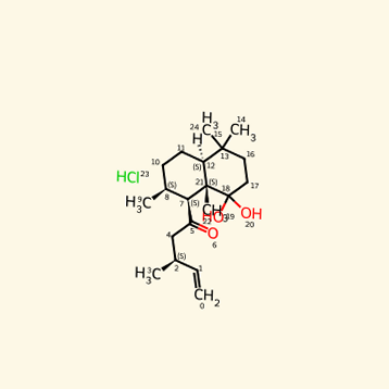 C=C[C@@H](C)CC(=O)[C@H]1[C@@H](C)CC[C@H]2C(C)(C)CCC(O)(O)[C@]12C.Cl